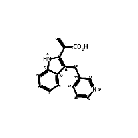 C=C(C(=O)O)c1[nH]c2ccccc2c1Cc1cccnc1